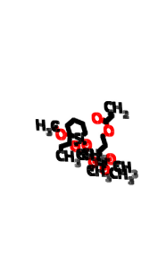 C=CC(=O)OCCC[Si](OC)(OC)OC.CCCC1(OC)CCCC[Si]1(OC)OC